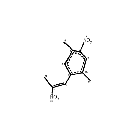 C/C(=C\c1cc(C)c([N+](=O)[O-])cc1C)[N+](=O)[O-]